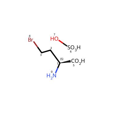 N[C@@H](CCBr)C(=O)O.O=S(=O)(O)O